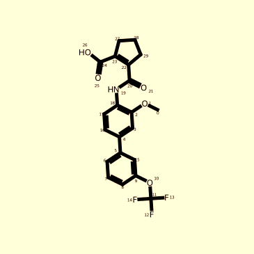 COc1cc(-c2cccc(OC(F)(F)F)c2)ccc1NC(=O)C1=C(C(=O)O)CCC1